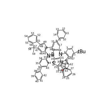 CC(C)(C)c1ccc(N2c3cc(-c4ccccc4)cc4c3B(c3sc5cc6ccccc6cc5c32)N(c2ccc(-c3ccccc3)cc2)c2cc3c(cc2-4)-c2ccccc2C3(C)C)c(-c2ccccc2)c1